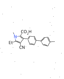 CCc1c(C#N)c(-c2ccc(-c3ccc(C)cc3)cc2)c(C(=O)O)n1C